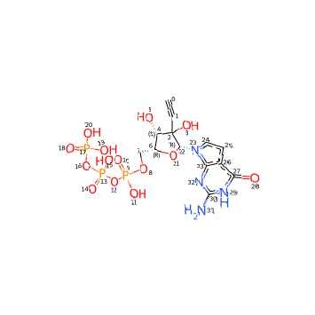 C#CC1(O)[C@@H](O)[C@@H](COP(=O)(O)OP(=O)(O)OP(=O)(O)O)O[C@H]1n1ccc2c(=O)[nH]c(N)nc21